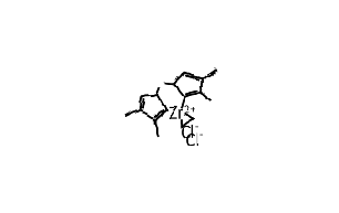 CC1=CC(C)[C]([Zr+2]2([C]3=C(C)C(C)=CC3C)[CH2][CH2]2)=C1C.[Cl-].[Cl-]